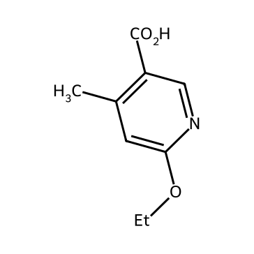 CCOc1cc(C)c(C(=O)O)cn1